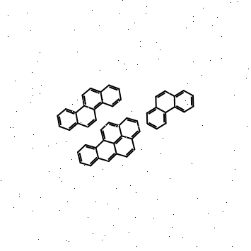 c1ccc2c(c1)cc1ccc3cccc4ccc2c1c34.c1ccc2c(c1)ccc1c3ccccc3ccc21.c1ccc2c(c1)ccc1ccccc12